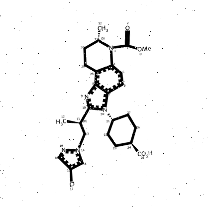 COC(=O)N1c2ccc3c(nc([C@H](C)Cn4cc(Cl)cn4)n3[C@H]3CC[C@H](C(=O)O)CC3)c2CC[C@@H]1C